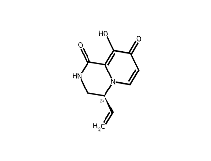 C=C[C@H]1CNC(=O)c2c(O)c(=O)ccn21